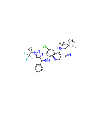 CC(C)(C)CNc1c(C#N)cnc2c(N[C@@H](c3ccccc3)c3cn(C4(C(F)(F)F)CC4)nn3)cc(Cl)cc12